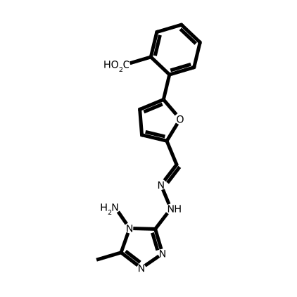 Cc1nnc(N/N=C/c2ccc(-c3ccccc3C(=O)O)o2)n1N